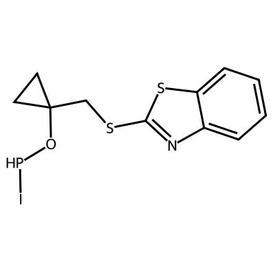 IPOC1(CSc2nc3ccccc3s2)CC1